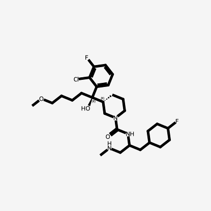 CNCC(CC1CCC(F)CC1)NC(=O)N1CCC[C@@H]([C@](O)(CCCCOC)c2cccc(F)c2Cl)C1